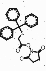 O=C(CSC(c1ccccc1)(c1ccccc1)c1ccccc1)ON1C(=O)CCC1=O